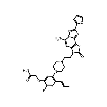 C/C=C/c1cc(F)c(OCC(N)=O)cc1N1CCN(CCn2c(=O)sc3c2nc(N)n2nc(-c4ccco4)nc32)CC1